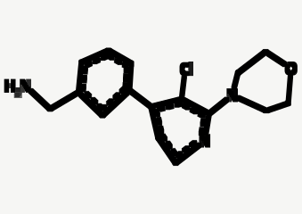 NCc1cccc(-c2ccnc(N3CCOCC3)c2Cl)c1